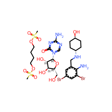 CS(=O)(=O)OCCCCOS(C)(=O)=O.Nc1c(Br)cc(Br)cc1CN[C@H]1CC[C@H](O)CC1.Nc1ncn([C@@H]2O[C@H](CO)[C@@H](O)[C@@H]2O)c(=O)n1